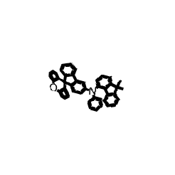 CC1(C)c2ccccc2-c2c(N(c3ccccc3)c3ccc4c(c3)-c3ccccc3C43c4ccccc4Oc4ccccc43)cccc21